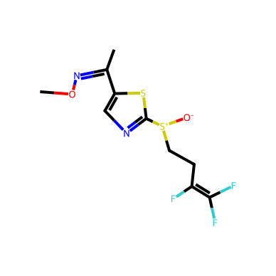 CO/N=C(/C)c1cnc([S+]([O-])CCC(F)=C(F)F)s1